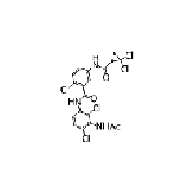 CC(=O)Nc1c(Cl)ccc(NC(=O)c2cc(NC(=O)C3CC3(Cl)Cl)ccc2Cl)c1Cl